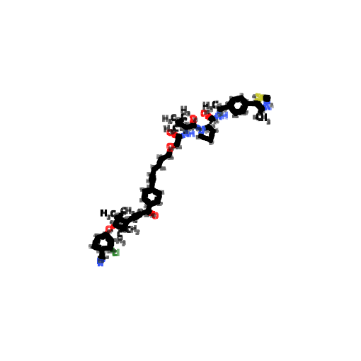 Cc1ncsc1-c1ccc([C@H](C)NC(=O)[C@@H]2CCCN2C(=O)[C@@H](NC(=O)COCCCCC#Cc2ccc(C(=O)C#CC3C(C)(C)C(Oc4ccc(C#N)c(Cl)c4)C3(C)C)cc2)C(C)(C)C)cc1